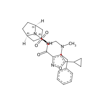 CN(CCc1ccccc1)CCS(=O)(=O)N1[C@@H]2CC[C@H]1C[C@@H](NC(=O)c1cc(C3CC3)on1)C2